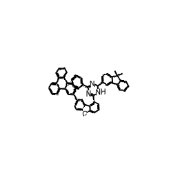 CC1(C)c2ccccc2-c2cc(C3N=C(c4ccccc4)N=C(c4cccc5oc6ccc(-c7ccc8c9ccccc9c9ccccc9c8c7)cc6c45)N3)ccc21